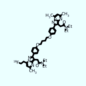 CCN(CC)C(=O)Cc1c(-c2ccc(OCCCCOc3ccc(-c4nn5c(CC[18F])cc(C)nc5c4CC(=O)N(CC)CC)cc3)cc2)nn2c(C)cc(C)nc12